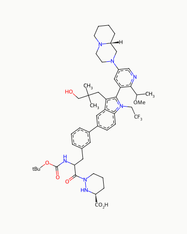 COC(C)c1ncc(N2CCN3CCCC[C@@H]3C2)cc1-c1c(CC(C)(C)CO)c2cc(-c3cccc(CC(NC(=O)OC(C)(C)C)C(=O)N4CCC[C@@H](C(=O)O)N4)c3)ccc2n1CC(F)(F)F